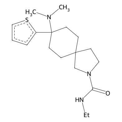 CCNC(=O)N1CCC2(CCC(c3cccs3)(N(C)C)CC2)C1